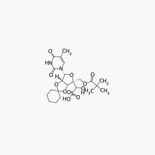 Cc1cn([C@@H]2O[C@@](COC(=O)C(C)(C)C)(C(O)S(=O)(=O)O)C3OC4(CCCCC4)O[C@@H]32)c(=O)[nH]c1=O